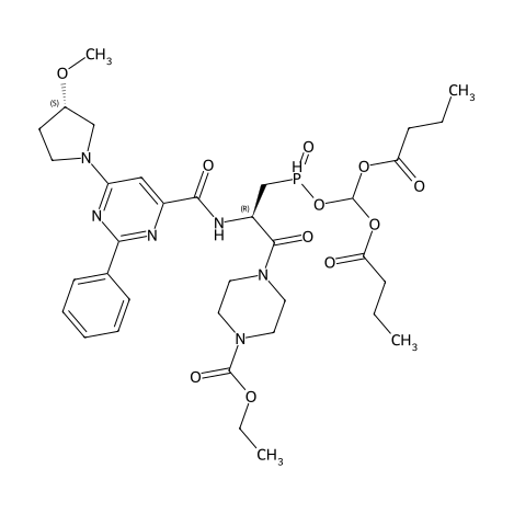 CCCC(=O)OC(OC(=O)CCC)O[PH](=O)C[C@H](NC(=O)c1cc(N2CC[C@H](OC)C2)nc(-c2ccccc2)n1)C(=O)N1CCN(C(=O)OCC)CC1